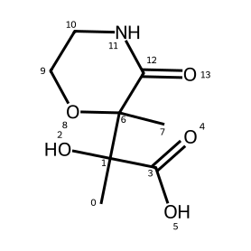 CC(O)(C(=O)O)C1(C)OCCNC1=O